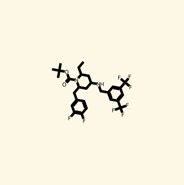 CCC1CC(NCc2cc(C(F)(F)F)cc(C(F)(F)F)c2)CC(Cc2ccc(F)c(F)c2)N1C(=O)OC(C)(C)C